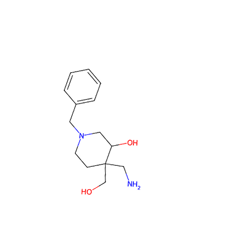 NCC1(CO)CCN(Cc2ccccc2)CC1O